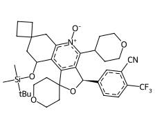 CC(C)(C)[Si](C)(C)OC1CC2(CCC2)Cc2c1c1c(c(C3CCOCC3)[n+]2[O-])[C@@H](c2ccc(C(F)(F)F)c(C#N)c2)OC12CCOCC2